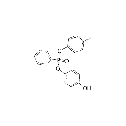 Cc1ccc(OP(=O)(Oc2ccc(O)cc2)c2ccccc2)cc1